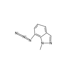 Cn1ncc2cccc(N=[N+]=[N-])c21